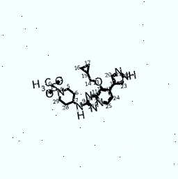 CS(=O)(=O)N1CCC(Nc2nc3c(OCC4CC4)c(-c4cn[nH]c4)ccn3n2)CC1